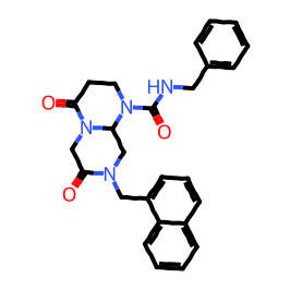 O=C1CN2C(=O)CCN(C(=O)NCc3ccccc3)C2CN1Cc1cccc2ccccc12